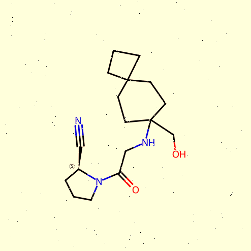 N#C[C@@H]1CCCN1C(=O)CNC1(CO)CCC2(CCC2)CC1